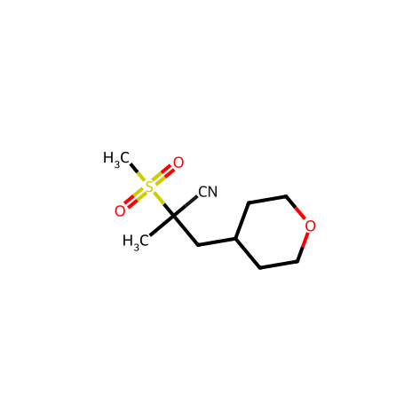 CC(C#N)(CC1CCOCC1)S(C)(=O)=O